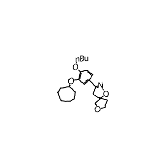 CCCCOc1ccc(C2=NOC3(CCOC3)C2)cc1OC1CCCCCC1